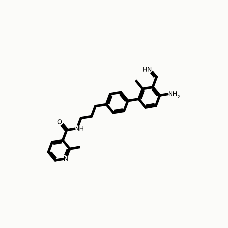 Cc1ncccc1C(=O)NCCCc1ccc(-c2ccc(N)c(C=N)c2C)cc1